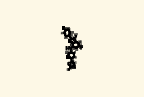 Cc1ncc(-c2ccc(Nc3cc(F)cc4c3nc(-c3ccc(F)cc3)n4C)cn2)o1